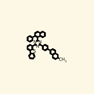 CC1C=Cc2cc(-c3ccc(-c4nc(-c5c(-c6ccccc6)ccc6ccccc56)nc(-c5cccc6c5sc5ccccc56)n4)cc3)ccc2C1